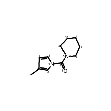 Cc1[c]n(C(=O)N2CCCCC2)cc1